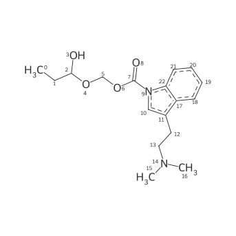 CCC(O)OCOC(=O)n1cc(CCN(C)C)c2ccccc21